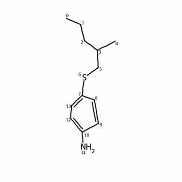 CCCC(C)CSc1ccc(N)cc1